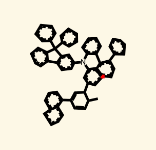 CC1C=CC(c2cccc3ccccc23)=CC1c1cccc(N(c2ccc3c(c2)C(c2ccccc2)(c2ccccc2)c2ccccc2-3)c2ccccc2-c2ccccc2-c2ccccc2)c1